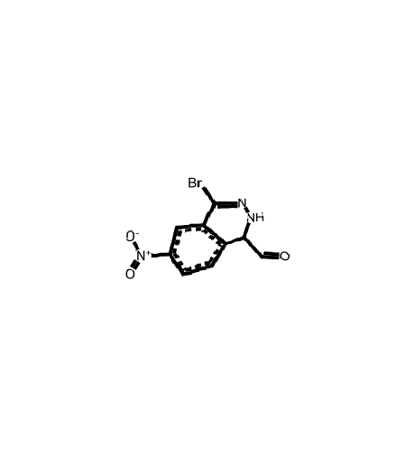 O=CC1NN=C(Br)c2cc([N+](=O)[O-])ccc21